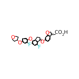 O=C(O)C[C@@H]1COc2cc(O[C@@H]3CCc4c(Oc5ccc(OC6CCOCC6)cc5F)ccc(F)c43)ccc21